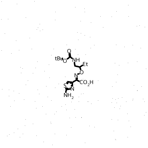 CCC(CNC(=O)OC(C)(C)C)ON=C(C(=O)O)c1csc(N)n1